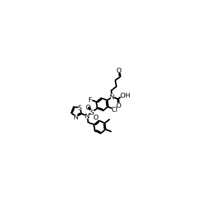 Cc1ccc(CN(c2nccs2)S(=O)(=O)c2cc(Cl)c(N(CCCC=O)C(=O)O)cc2F)cc1C